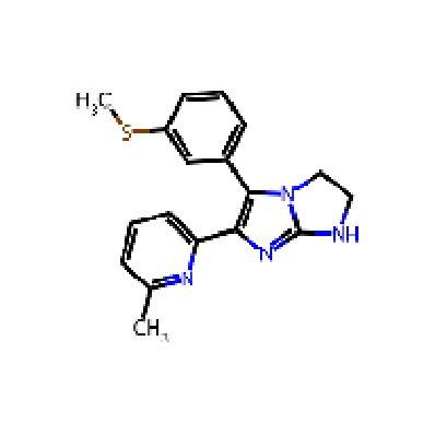 CSc1cccc(-c2c(-c3cccc(C)n3)nc3n2CCN3)c1